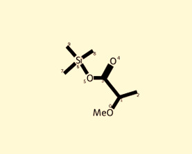 COC(C)C(=O)O[Si](C)(C)C